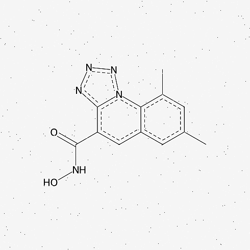 Cc1cc(C)c2c(c1)cc(C(=O)NO)c1nnnn12